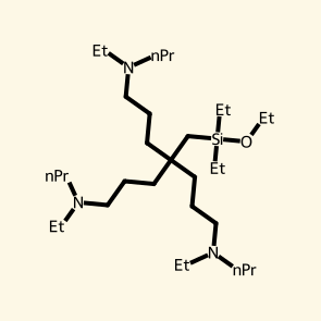 CCCN(CC)CCCC(CCCN(CC)CCC)(CCCN(CC)CCC)C[Si](CC)(CC)OCC